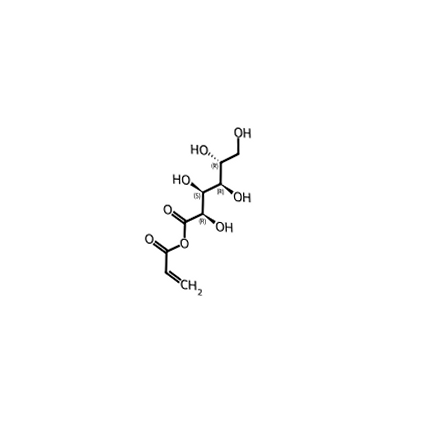 C=CC(=O)OC(=O)[C@H](O)[C@@H](O)[C@H](O)[C@H](O)CO